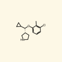 Cc1c(Cl)cccc1OC(C1CC1)[C@@H]1CCNC1